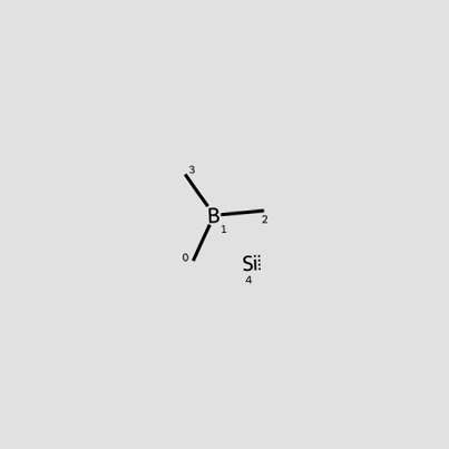 CB(C)C.[Si]